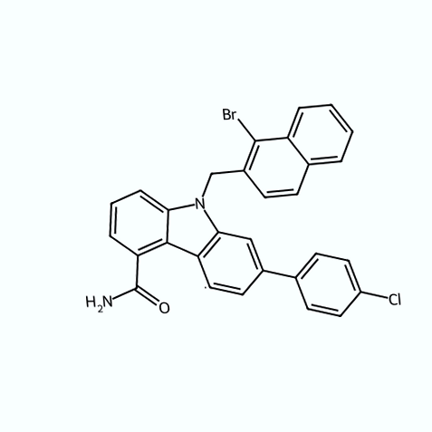 NC(=O)c1cccc2c1c1[c]cc(-c3ccc(Cl)cc3)cc1n2Cc1ccc2ccccc2c1Br